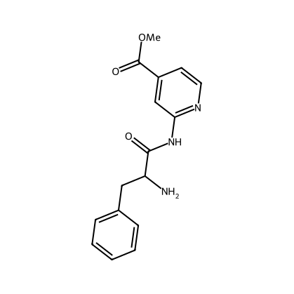 COC(=O)c1ccnc(NC(=O)C(N)Cc2ccccc2)c1